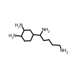 NCCCCC(N)C1CCC(N)C(N)C1